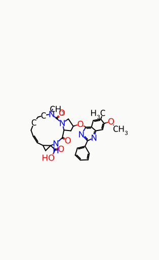 COc1cc2nc(-c3ccccc3)nc(OC3CC4C(=O)NC5(C(=O)O)CC5C=CCCCCN(C)C(=O)N4C3)c2cc1C